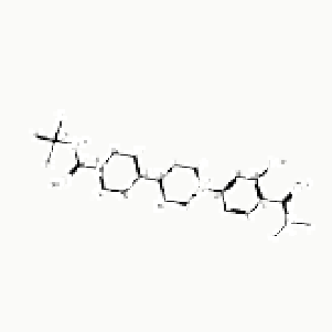 CN(C)C(=O)c1ccc(N2CCC(C3CCN(C(=O)OC(C)(C)C)CC3)CC2)cc1F